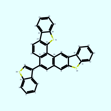 c1ccc2c(-c3cc4cc5sc6ccccc6c5cc4c4c3ccc3c5ccccc5sc34)csc2c1